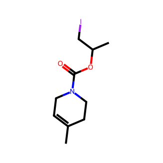 CC1=CCN(C(=O)OC(C)CI)CC1